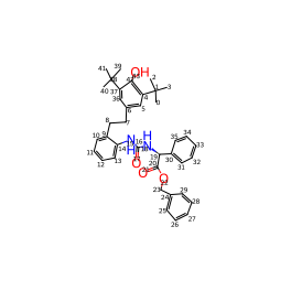 CC(C)(C)c1cc(CCc2ccccc2NC(=O)N[C@H](C(=O)OCc2ccccc2)c2ccccc2)cc(C(C)(C)C)c1O